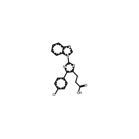 O=C(O)CCc1sc(-n2cnc3ccccc32)nc1-c1ccc(Cl)cc1